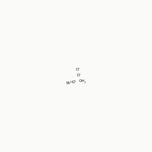 O.[Cl-].[Cl-].[Cl-].[Sb+3]